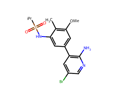 COc1cc(-c2cc(Br)cnc2N)cc(NS(=O)(=O)C(C)C)c1C